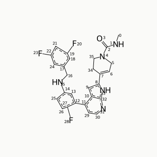 CNC(=O)N1CC=C(c2cc3c(-c4cc(NCc5cc(F)cc(F)c5)ccc4F)ccnc3[nH]2)CC1